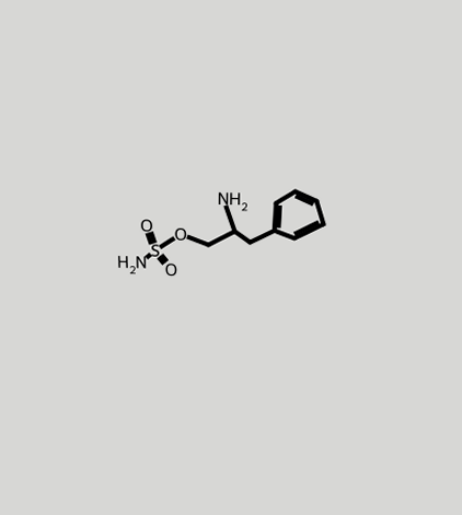 NC(COS(N)(=O)=O)Cc1ccccc1